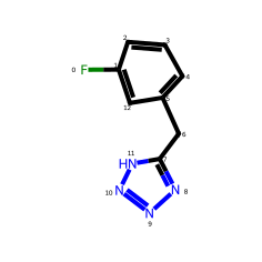 Fc1cccc([CH]c2nnn[nH]2)c1